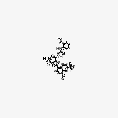 CCOc1ccccc1NC(=O)CNC(=O)c1nc(-c2ccc(OC)c3nc(C(F)(F)F)ccc23)oc1[C@H](C)N